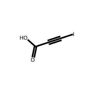 O=C(O)C#CI